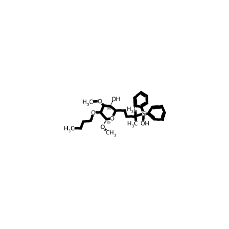 CCCCOC1C(OC)[C@H](O)C(CCC(C)(C)[Si](O)(c2ccccc2)c2ccccc2)O[C@@H]1OC